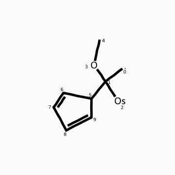 [CH2][C]([Os])(OC)C1C=CC=C1